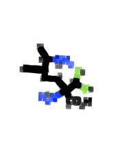 C=C(CCC(N)(C(=O)O)C(F)F)C(C)N